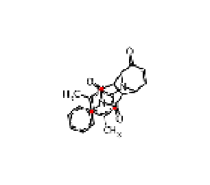 Cc1cc(C)nc(N2C3C=CC(=O)C2C2C(=O)N(c4ccccc4)C(=O)C23)n1